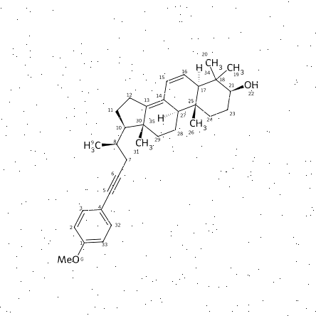 COc1ccc(C#CC[C@@H](C)[C@H]2CCC3=C4C=C[C@H]5C(C)(C)[C@@H](O)CC[C@]5(C)[C@H]4CC[C@@]32C)cc1